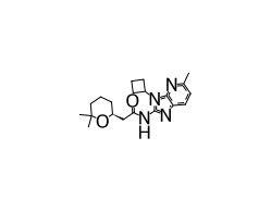 Cc1ccc2nc(NC(=O)C[C@@H]3CCCC(C)(C)O3)n(C3CCC3)c2n1